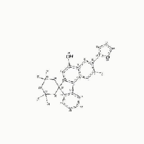 Cc1cc2c3c(cc(O)c2cc1-c1ccco1)C1(CC(C)(C)CC(C)(C)C1)c1ccccc1-3